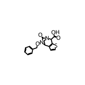 O=C(O)C1c2sccc2C2CN1C(=O)N2OCc1ccccc1